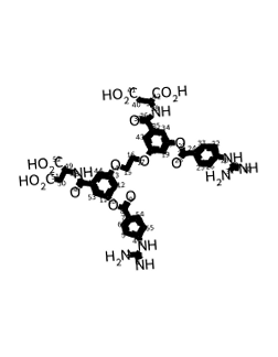 N=C(N)Nc1ccc(C(=O)Oc2cc(OCCOc3cc(OC(=O)c4ccc(NC(=N)N)cc4)cc(C(=O)NC(CC(=O)O)C(=O)O)c3)cc(C(=O)NC(CC(=O)O)C(=O)O)c2)cc1